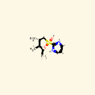 C=CC(C)[C@H](C)CS(=O)(=O)c1ncccn1